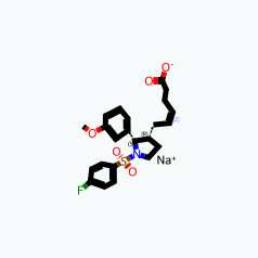 COc1cccc([C@@H]2[C@H](C/C=C\CCC(=O)[O-])CCN2S(=O)(=O)c2ccc(F)cc2)c1.[Na+]